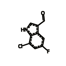 O=Cc1c[nH]c2c(Cl)cc(F)cc12